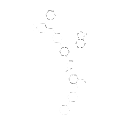 CC1(C)CC(c2ccc(Cl)cc2)=C(CN2CCN(c3ccc(C(=O)NS(=O)(=O)c4ccc(NC5CCC(N6CCOCC6)CC5)c([N+](=O)[O-])c4)c(Oc4cc5cc[nH]c5cc4F)c3)CC2)CO1